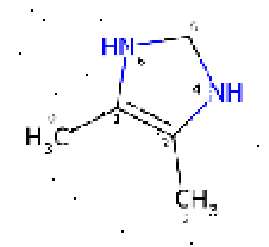 CC1=C(C)NCN1